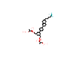 C=C(CO)C(=O)OCCc1cc(CCOC(=O)C(=C)CO)cc(-c2ccc(-c3ccc4cc(CCCCC(F)(F)F)ccc4c3)cc2)c1